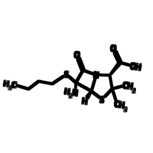 CCCCSC1(N)C(=O)N2[C@@H](C(=O)O)C(C)(C)S[C@@H]21